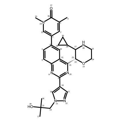 Cc1cc(-c2ccc3nc(-c4cnn(CC(C)(C)O)c4)nc([C@H]4OCCNC4C4CC4)c3c2)cn(C)c1=O